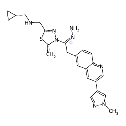 C=C1SC(CNCC2CC2)=NN1/C(Cc1ccc2ncc(-c3cnn(C)c3)cc2c1)=N\N